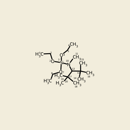 CCO[Si](OCC)(OCC)N(C)C(C(C)(C)C)C(C)(C)C